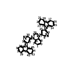 c1ccc2c(c1)N(c1cncc(-n3c4ccccc4c4ccccc43)c1)CCN2c1cncc(-n2c3ccccc3c3ccccc32)c1